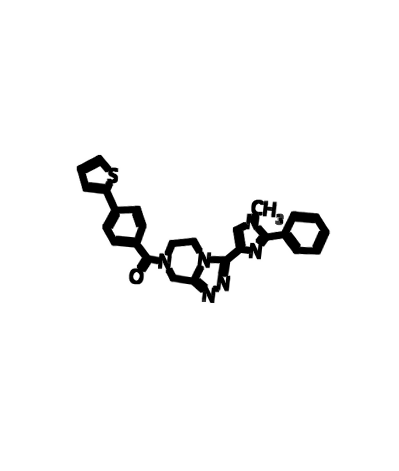 Cn1cc(-c2nnc3n2CCN(C(=O)c2ccc(-c4cccs4)cc2)C3)nc1-c1ccccc1